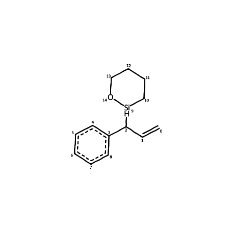 C=CC(c1ccccc1)[SiH]1CCCCO1